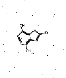 Cc1ncc(C#N)c2sc(Br)cc12